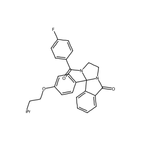 CC(C)CCOc1ccc(C23c4ccccc4C(=O)N2CCN3C(=O)c2ccc(F)cc2)cc1